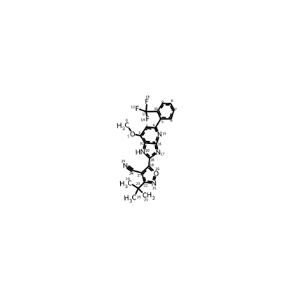 COc1cc(-c2ccccc2C(F)(F)F)nc2nc(-c3onc(C(C)(C)C)c3C#N)[nH]c12